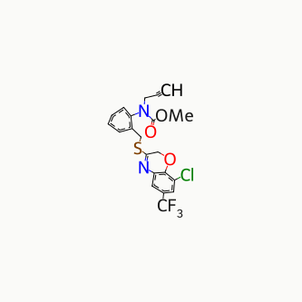 C#CCN(C(=O)OC)c1ccccc1CSC1=Nc2cc(C(F)(F)F)cc(Cl)c2OC1